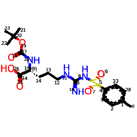 Cc1ccc(S(=O)(=O)NC(=N)NCCC[C@@H](NC(=O)OC(C)(C)C)C(=O)O)cc1